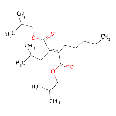 CCCCCC(C(=O)OCC(C)C)=C(CC(C)C)C(=O)OCC(C)C